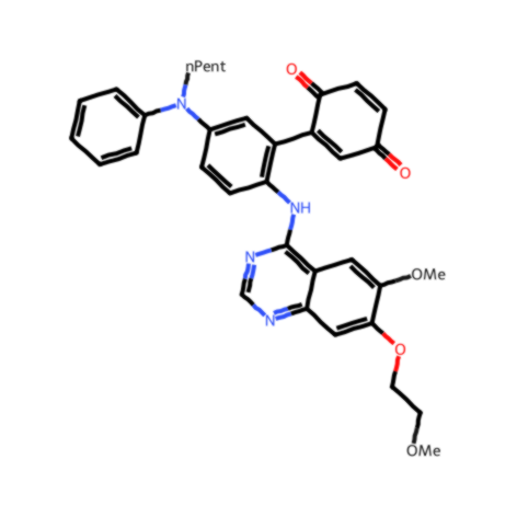 CCCCCN(c1ccccc1)c1ccc(Nc2ncnc3cc(OCCOC)c(OC)cc23)c(C2=CC(=O)C=CC2=O)c1